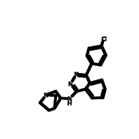 Clc1ccc(-c2nnc(NC3CN4CCC3C4)c3ccccc23)cc1